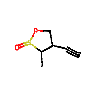 C#CC1COS(=O)C1C